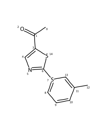 CC(=O)c1cnc(S2=CC=CC(C)=C2)s1